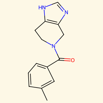 Cc1cccc(C(=O)N2CCc3[nH]cnc3C2)c1